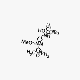 COCCn1c(-c2cc(C)c(=O)n(C)c2)nc2cc(CNC(COCC(C)C)[C@@H](C)O)ccc21